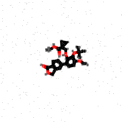 [2H]C([2H])([2H])Oc1c(OC)ccc(-c2ccc3c(c2)COC3=O)c1OCC1(C(=O)OC)CC1